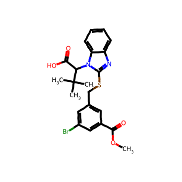 COC(=O)c1cc(Br)cc(CSc2nc3ccccc3n2C(C(=O)O)C(C)(C)C)c1